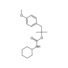 COc1ccc(CC(C)(C)OC(=O)NC2CCCCC2)cc1